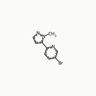 Cn1nccc1-c1ccc(Br)cn1